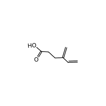 C=CC(=C)CCC(=O)O